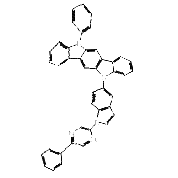 c1ccc(-c2cnc(-n3ccc4cc(-n5c6ccccc6c6cc7c(cc65)c5ccccc5n7-c5ccccc5)ccc43)cn2)cc1